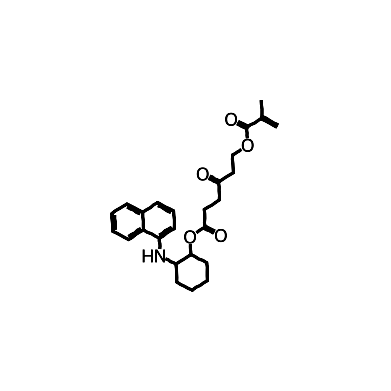 C=C(C)C(=O)OCCC(=O)CCC(=O)OC1CCCCC1Nc1cccc2ccccc12